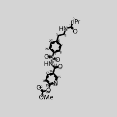 CCCC(=O)NCCc1ccc(S(=O)(=O)NC(=O)c2ccc(OC(=O)OC)nc2)cc1